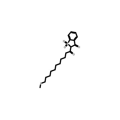 CSCCCCCCCCCCC(=O)C1C(=O)c2ccccc2S1(=O)=O